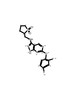 O=S1(=O)CCCC1CNc1n[nH]c2nc(Oc3ccc(F)cc3F)ncc12